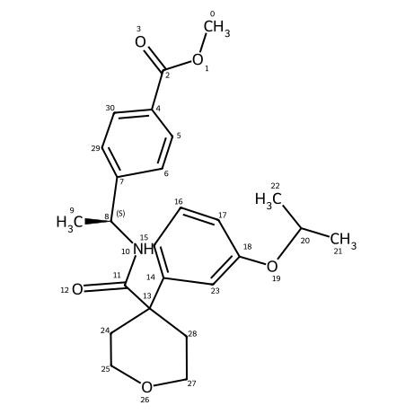 COC(=O)c1ccc([C@H](C)NC(=O)C2(c3cccc(OC(C)C)c3)CCOCC2)cc1